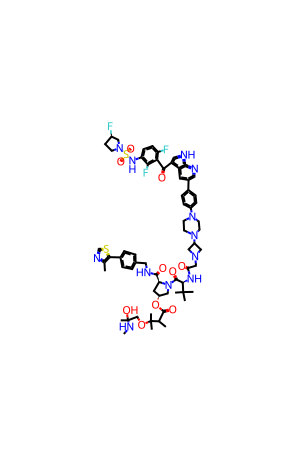 CNC(C)(O)COC(C)(C)C(C)C(=O)O[C@@H]1C[C@@H](C(=O)NCc2ccc(-c3scnc3C)cc2)N(C(=O)[C@@H](NC(=O)CN2CC(N3CCN(c4ccc(-c5cnc6[nH]cc(C(=O)c7c(F)ccc(NS(=O)(=O)N8CC[C@@H](F)C8)c7F)c6c5)cc4)CC3)C2)C(C)(C)C)C1